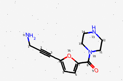 NCC#Cc1ccc(C(=O)N2CCNCC2)o1